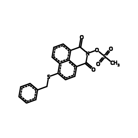 CS(=O)(=O)ON1C(=O)c2cccc3c(SCc4ccccc4)ccc(c23)C1=O